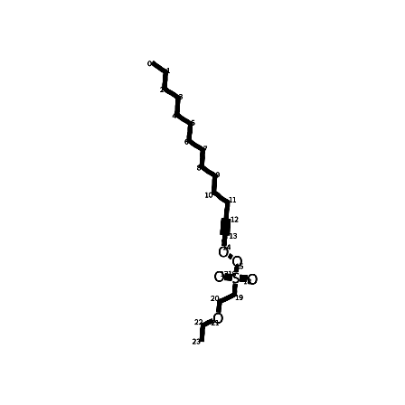 CCCCCCCCCCCCC#COOS(=O)(=O)CCOCC